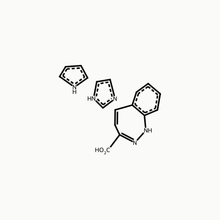 O=C(O)C1=NNc2ccccc2C=C1.c1c[nH]cn1.c1cc[nH]c1